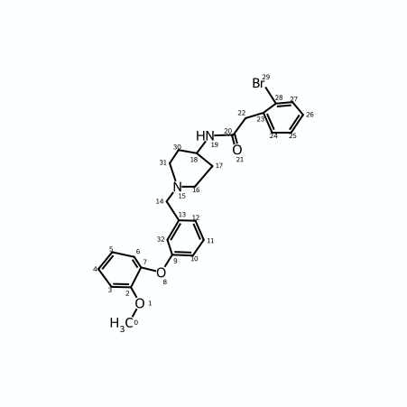 COc1ccccc1Oc1cccc(CN2CCC(NC(=O)Cc3ccccc3Br)CC2)c1